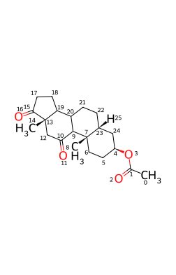 CC(=O)O[C@H]1CC[C@]2(C)C3C(=O)C[C@]4(C)C(=O)CCC4C3CC[C@@H]2C1